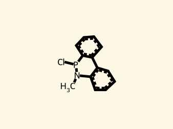 CN1c2ccccc2-c2ccccc2P1Cl